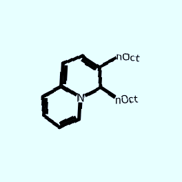 CCCCCCCCC1=CC=C2C=CC=CN2C1CCCCCCCC